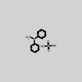 NN(c1ccccc1)c1ccccc1.O=S(=O)(O)O